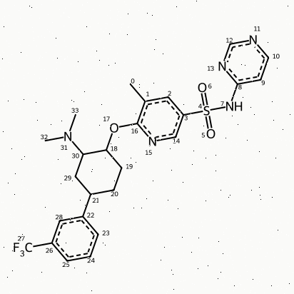 Cc1cc(S(=O)(=O)Nc2ccncn2)cnc1OC1CCC(c2cccc(C(F)(F)F)c2)CC1N(C)C